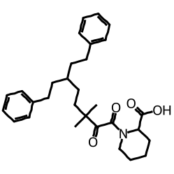 CC(C)(CCC(CCc1ccccc1)CCc1ccccc1)C(=O)C(=O)N1CCCCC1C(=O)O